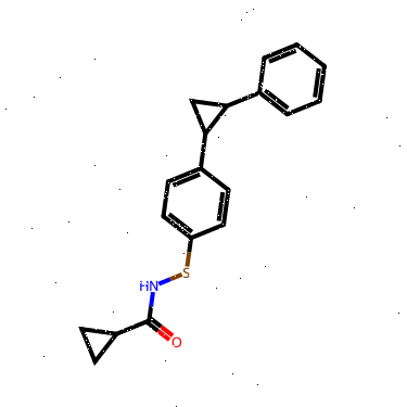 O=C(NSc1ccc(C2CC2c2ccccc2)cc1)C1CC1